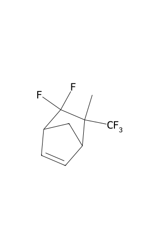 CC1(C(F)(F)F)C2C=CC(C2)C1(F)F